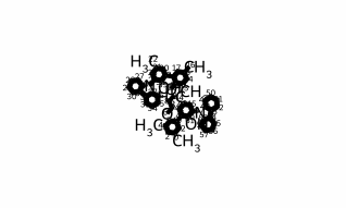 Cc1cc(C)c(OCCCOc2c(C)cc(C)cc2-c2cc(C)cc(-n3c4ccccc4c4ccccc43)c2O)c(-c2cc(C)cc(-n3c4ccccc4c4ccccc43)c2O)c1